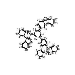 c1ccc(-c2nc3ccccc3n2-c2ccc(-c3cc(-c4ccc5oc6ccccc6c5c4)cc(-c4nc5ccccc5c5c4sc4ccccc45)c3)cc2)cc1